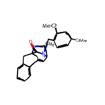 COC1=NC23Cc4ccccc4C2=CC1N(Cc1ccc(OC)cc1OC)C3=O